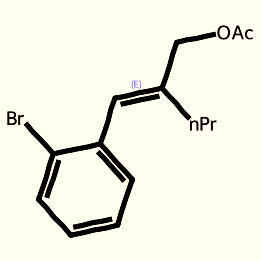 CCC/C(=C\c1ccccc1Br)COC(C)=O